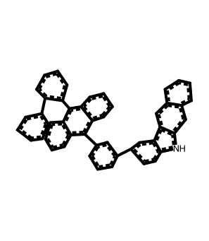 c1ccc(-c2ccccc2-c2c3ccccc3c(-c3cccc(-c4ccc5[nH]c6cc7ccccc7cc6c5c4)c3)c3ccccc23)cc1